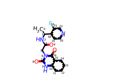 C[C@H](NC(=O)Cn1c(=O)[nH]c2ccccc2c1=O)c1ccncc1F